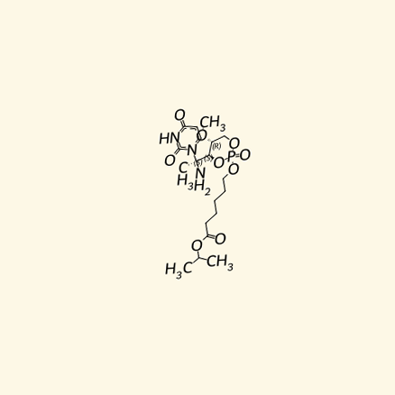 CO[C@@H]1COP(=O)(OCCCCCC(=O)OC(C)C)O[C@H]1[C@@](C)(N)n1ccc(=O)[nH]c1=O